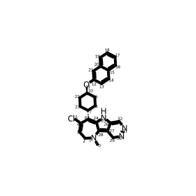 CN1CC=C(Cl)C([C@H]2CC[C@H](Oc3ccc4ccccc4c3)CC2)=c2[nH]c3c(c21)CN=NC=3